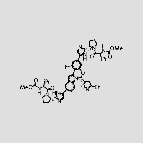 CCc1cc([C@@H]2Oc3cc(-c4cnc([C@@H]5CCCN5C(=O)C(NC(=O)OC)C(C)C)[nH]4)cc(F)c3-c3cc4cc(-c5cnc([C@@H]6CCCN6C(=O)C(NC(=O)OC)C(C)C)[nH]5)ccc4n32)on1